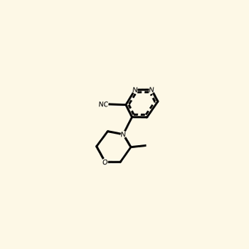 CC1COCCN1c1ccnnc1C#N